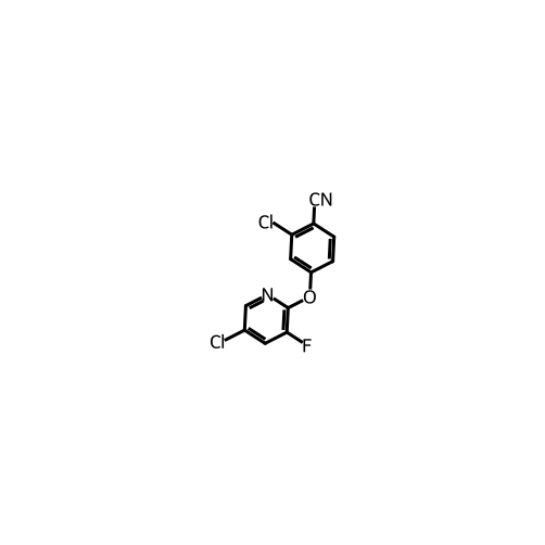 N#Cc1ccc(Oc2ncc(Cl)cc2F)cc1Cl